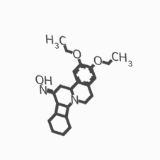 CCOc1cc2c(cc1OCC)C1CC(=NO)C3C4CCCCC4C3N1CC2